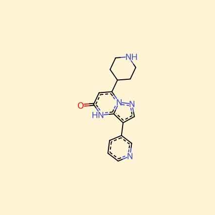 O=c1cc(C2CCNCC2)n2ncc(-c3cccnc3)c2[nH]1